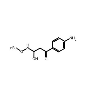 CCCCONC(O)CC(=O)c1ccc(N)cc1